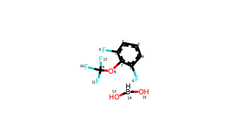 Fc1cccc(F)c1OC(F)(F)F.OBO